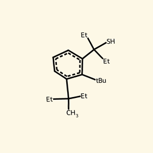 CCC(C)(CC)c1cccc(C(S)(CC)CC)c1C(C)(C)C